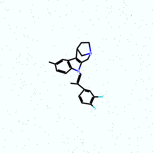 C/C(=C\n1c2c(c3cc(C)ccc31)C1CCN(C2)C1)c1ccc(F)c(F)c1